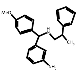 COc1ccc(C(NCC(C)c2ccccc2)c2cccc(N)c2)cc1